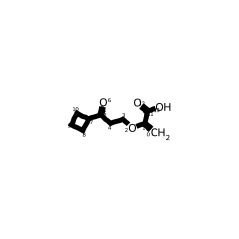 C=C(OCCC(=O)C1CCC1)C(=O)O